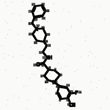 N#Cc1ccc(N2CCC(C(=O)NCCC3CCN(Cc4ccccc4)CC3)CC2)cc1F